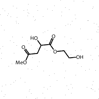 COC(=O)CC(O)C(=O)OCCO